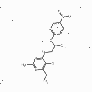 CCc1nc(C)nc(NCC(C)Oc2ccc([N+](=O)[O-])cn2)c1Cl